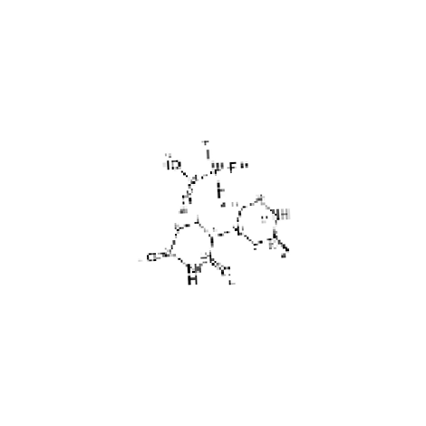 C[C@H]1CN(C2CCC(=O)NC2=O)CCN1.O=C(O)C(F)(F)F